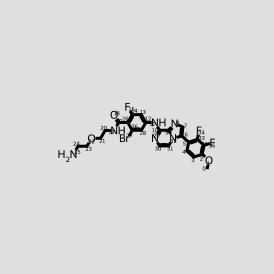 COc1ccc(-c2cnc3c(Nc4cc(F)c(C(=O)NCCOCCN)c(Br)c4)nccn23)c(F)c1F